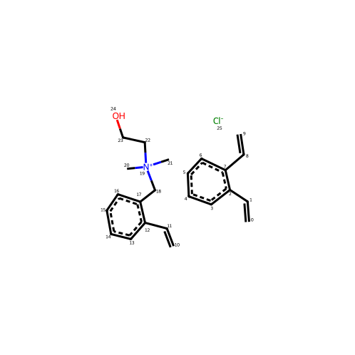 C=Cc1ccccc1C=C.C=Cc1ccccc1C[N+](C)(C)CCO.[Cl-]